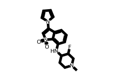 CN1CCC(Nc2cccc3c2S(=O)(=O)C=C3n2cccc2)C(F)C1